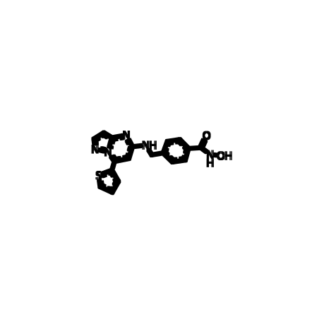 O=C(NO)c1ccc(CNc2cc(-c3cccs3)n3nccc3n2)cc1